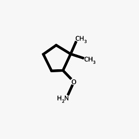 CC1(C)CCCC1ON